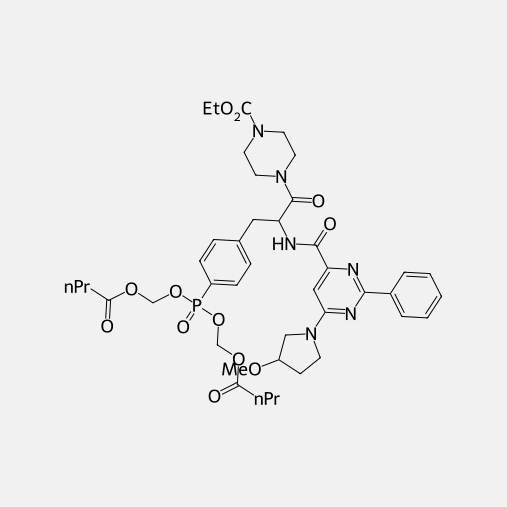 CCCC(=O)OCOP(=O)(OCOC(=O)CCC)c1ccc(CC(NC(=O)c2cc(N3CCC(OC)C3)nc(-c3ccccc3)n2)C(=O)N2CCN(C(=O)OCC)CC2)cc1